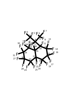 FC(F)(F)C(F)(C(F)(F)F)C1(F)C(F)(F)C(F)(F)C(F)(F)C2(F)C(F)(F)C(F)(F)C(F)(F)C(F)(F)C21F